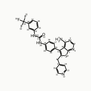 Nc1ncnc2sc(Cc3ccncc3)c(-c3ccc(NC(=O)Nc4cccc(C(F)(F)F)c4)cc3)c12